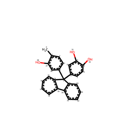 Cc1ccc(C2(c3ccc(O)c(O)c3)c3ccccc3-c3ccccc32)cc1O